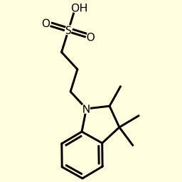 CC1N(CCCS(=O)(=O)O)c2ccccc2C1(C)C